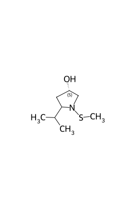 CSN1C[C@@H](O)CC1C(C)C